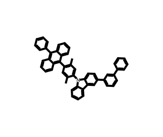 Cc1cc(-n2c3ccccc3c3cc(-c4cccc(-c5ccccc5)c4)ccc32)c(C)cc1-c1c2ccccc2c(-c2ccccc2)c2ccccc12